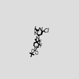 CC(C)(C)OC(=O)N1CCC2(CN(c3cc(Cl)nc(I)n3)C2)C(F)(F)C1